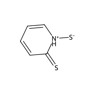 S=C1C=CC=C[NH+]1[S-]